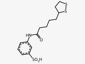 O=C(CCCCC1CCSS1)Nc1cccc(S(=O)(=O)O)c1